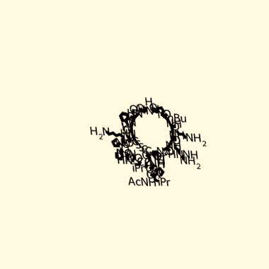 CCCC[C@@H]1NC(=O)[C@H](CCCCN)NC(=O)[C@H](CCCNC(=N)N)NC(=O)[C@H](CC(C)C)NC(=O)C(NC(=O)[C@H](CCC(C)C)NC(=O)[C@@H]2CCCN2C(=O)[C@@H](NC(C)=O)C(C)C)CCSSC[C@@H](C(=O)NC(CCCCN)C(=O)N2CCC[C@H]2C(=O)N2CCC[C@H]2C(=O)N[C@@H](CCC(=O)O)C(N)=O)NC(=O)[C@H](Cc2ccccc2)NC(=O)[C@H](CO)NC(=O)C(C)NC(=O)[C@@H]2CCCN2C1=O